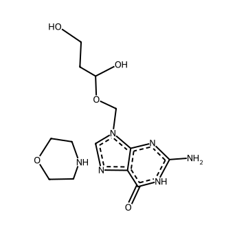 C1COCCN1.Nc1nc2c(ncn2COC(O)CCO)c(=O)[nH]1